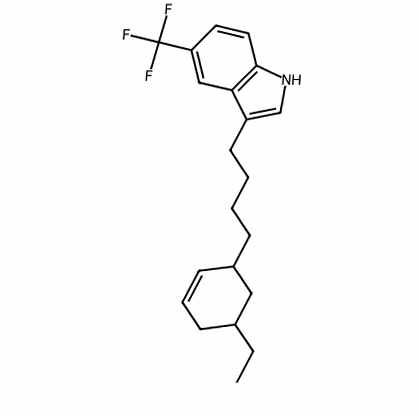 CCC1CC=CC(CCCCc2c[nH]c3ccc(C(F)(F)F)cc23)C1